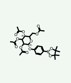 CC(=O)OCC1O[C@H](Oc2ccc(B3OC(C)(C)C(C)(C)O3)cc2)C(OC(C)=O)C(OC(C)=O)[C@@H]1OC(C)=O